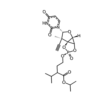 C#C[C@@]1(C)[C@H](n2ccc(=O)[nH]c2=O)O[C@@H]2C3O[P@@](=O)(OCCC(C(=O)OC(C)C)C(C)C)O[C@]321